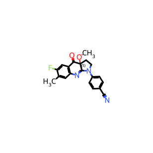 CO[C@@]12CCN(c3ccc(C#N)cc3)C1=Nc1cc(C)c(F)cc1C2=O